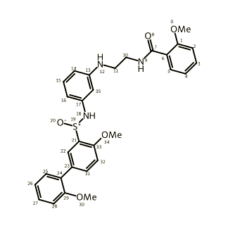 COc1ccccc1C(=O)NCCNc1cccc(N[S+]([O-])c2cc(-c3ccccc3OC)ccc2OC)c1